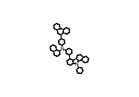 c1ccc(-n2c3cccc(-c4cccc(N(c5ccc(-c6cc7ccccc7c7ccccc67)cc5)c5cccc6ccccc56)c4)c3c3ccc4ccccc4c32)cc1